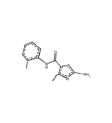 Cc1ccccc1NC(=O)c1sc(N)nc1C